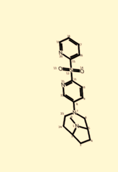 CN1C2CCC1CN(c1ccc(S(=O)(=O)c3ccccn3)nc1)CC2